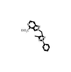 CCOC(=O)c1nccc2nn(Cc3nn(-c4ccccc4)nc3C)cc12